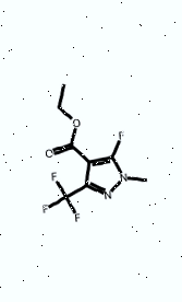 CCOC(=O)c1c(C(F)(F)F)nn(C)c1F